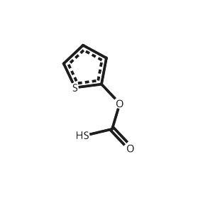 O=C(S)Oc1cccs1